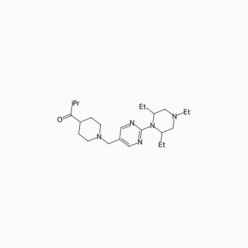 CCC1CN(CC)CC(CC)N1c1ncc(CN2CCC(C(=O)C(C)C)CC2)cn1